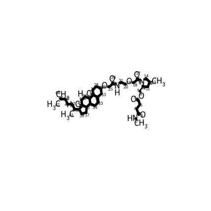 CNC(=O)CCC(=O)OC[C@@H]1C[C@@H](C)CN1C(=O)COCCNC(=O)CO[C@H]1CC[C@@]2(C)C(=CCC3C4CCC(C(C)CCCC(C)C)[C@@]4(C)CCC32)C1